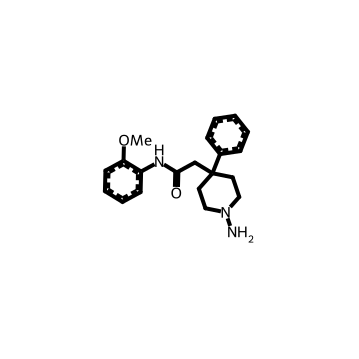 COc1ccccc1NC(=O)CC1(c2ccccc2)CCN(N)CC1